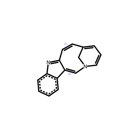 C1=CN2/C=C3\C(=Nc4ccccc43)/C=C\C(=C1)C2